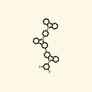 Fc1cc(F)cc(-n2c3ccccc3c3cc(-c4ccc5c(c4)c4ccccc4n5-c4ccc(-n5c6ccccc6c6ccccc65)cc4)ccc32)c1